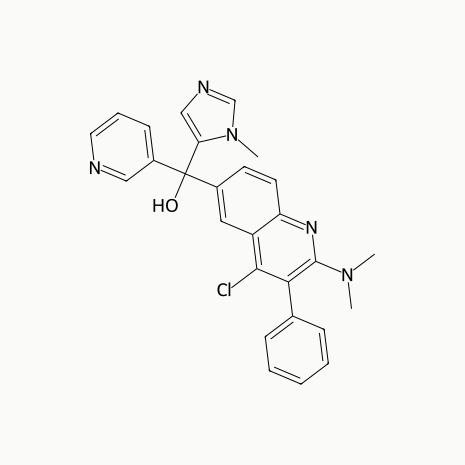 CN(C)c1nc2ccc(C(O)(c3cccnc3)c3cncn3C)cc2c(Cl)c1-c1ccccc1